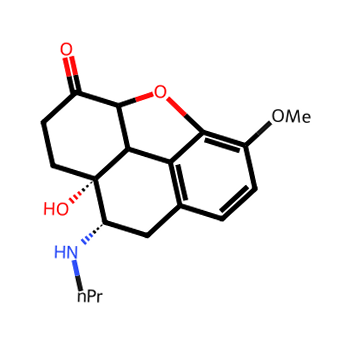 CCCN[C@H]1Cc2ccc(OC)c3c2C2C(O3)C(=O)CC[C@@]21O